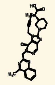 CC#CCn1c(N2CCCC(NC(=O)O)C2)nc2cnn(Cc3nc(C)c4ccccc4n3)c(=O)c21